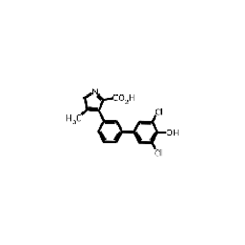 CC1=C(c2cccc(-c3cc(Cl)c(O)c(Cl)c3)c2)C(C(=O)O)=NC1